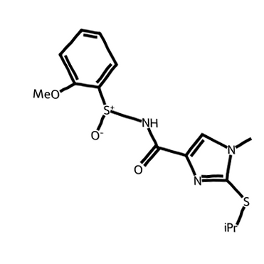 COc1ccccc1[S+]([O-])NC(=O)c1cn(C)c(SC(C)C)n1